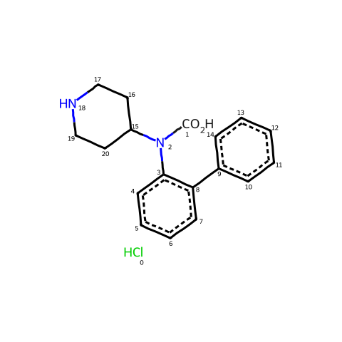 Cl.O=C(O)N(c1ccccc1-c1ccccc1)C1CCNCC1